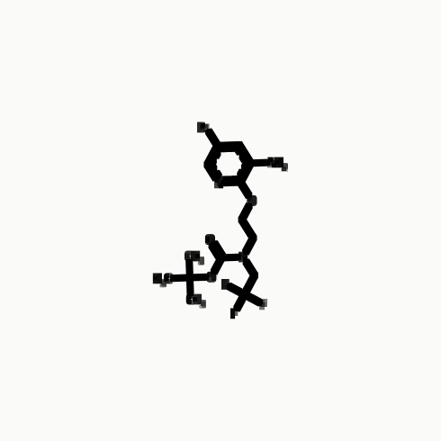 CC(C)(C)OC(=O)N(CCOc1ncc(Br)cc1N)CC(F)(F)F